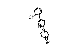 CC(C)N1CCN(c2ccc(-c3ccccc3Cl)cn2)CC1